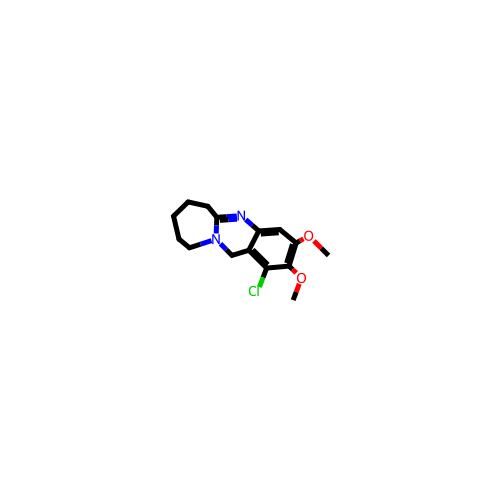 COc1cc2c(c(Cl)c1OC)CN1CCCCCC1=N2